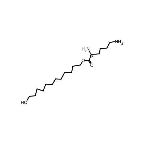 NCCCC[C@H](N)C(=O)OCCCCCCCCCCCCO